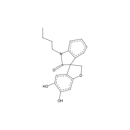 CCCCN1C(=O)C2(COc3cc(O)c(O)cc32)c2ccccc21